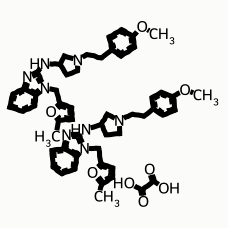 COc1ccc(CCN2CCC(Nc3nc4ccccc4n3Cc3ccc(C)o3)C2)cc1.COc1ccc(CCN2CCC(Nc3nc4ccccc4n3Cc3ccc(C)o3)C2)cc1.O=C(O)C(=O)O